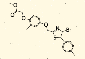 COC(=O)COc1ccc(OCC2=NC(Br)C(c3ccc(C)cc3)S2)cc1C